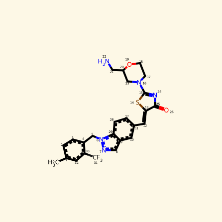 Cc1ccc(Cn2ncc3cc(/C=C4\SC(N5CCOC(CN)C5)=NC4=O)ccc32)c(C(F)(F)F)c1